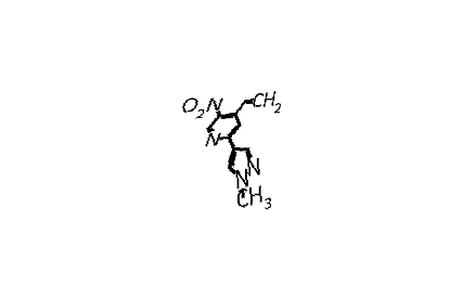 C=Cc1cc(-c2cnn(C)c2)ncc1[N+](=O)[O-]